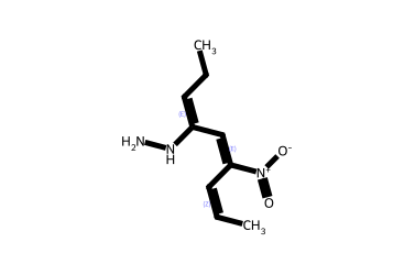 C\C=C/C(=C\C(=C/CC)NN)[N+](=O)[O-]